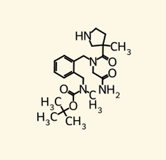 CN(Cc1ccccc1CN(CC(N)=O)C(=O)C1(C)CCNC1)C(=O)OC(C)(C)C